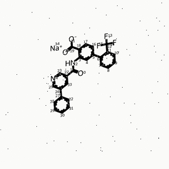 O=C(Nc1cc(-c2ccccc2C(F)(F)F)ccc1C(=O)[O-])c1cncc(-c2ccccc2)c1.[Na+]